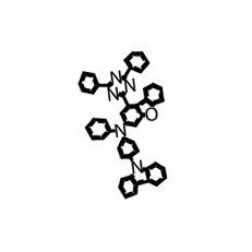 c1ccc(-c2nc(-c3ccccc3)nc(-c3cc(N(c4ccccc4)c4ccc(-n5c6ccccc6c6ccccc65)cc4)cc4oc5ccccc5c34)n2)cc1